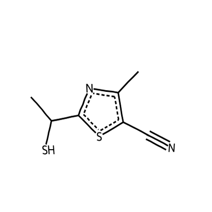 Cc1nc(C(C)S)sc1C#N